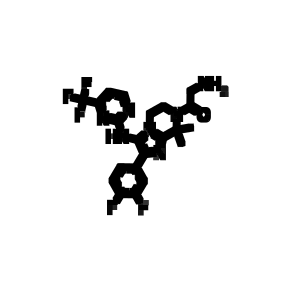 CC1(C)c2nc(-c3ccc(F)c(F)c3)c(Nc3nccc(C(F)(F)F)n3)n2CCN1C(=O)CN